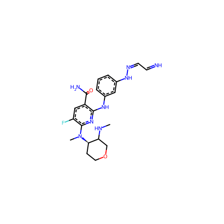 CNC1COCC[C@H]1N(C)c1nc(Nc2cccc(N/N=C\C=N)c2)c(C(N)=O)cc1F